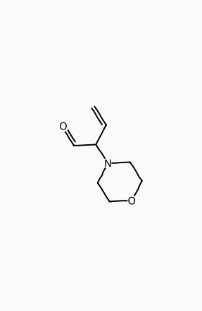 C=CC(C=O)N1CCOCC1